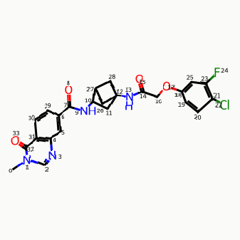 Cn1cnc2cc(C(=O)NC3CC4(NC(=O)COc5ccc(Cl)c(F)c5)CC3C4)ccc2c1=O